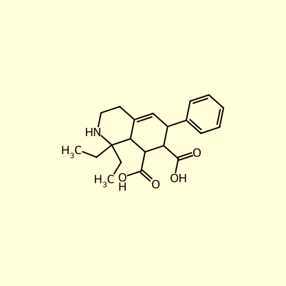 CCC1(CC)NCCC2=CC(c3ccccc3)C(C(=O)O)C(C(=O)O)C21